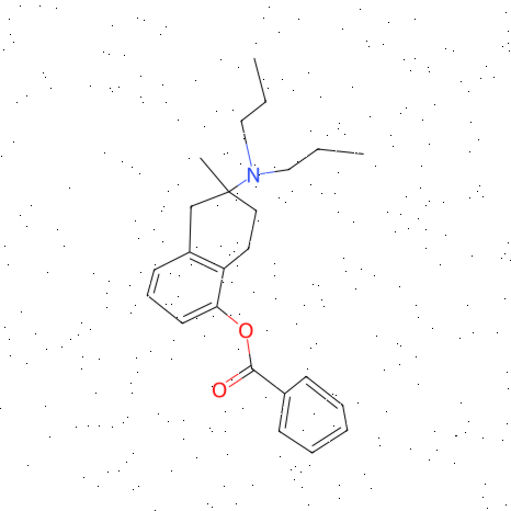 CCCN(CCC)C1(C)CCc2c(cccc2OC(=O)c2ccccc2)C1